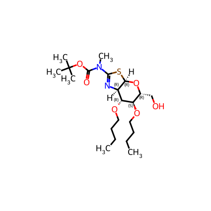 CCCCO[C@@H]1[C@H]2N=C(N(C)C(=O)OC(C)(C)C)S[C@H]2O[C@H](CO)[C@H]1OCCCC